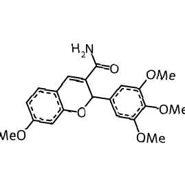 COc1ccc2c(c1)OC(c1cc(OC)c(OC)c(OC)c1)C(C(N)=O)=C2